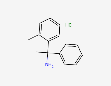 Cc1ccccc1C(C)(N)c1ccccc1.Cl